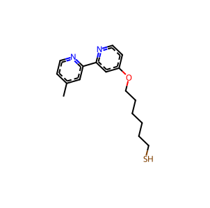 Cc1ccnc(-c2cc(OCCCCCCS)ccn2)c1